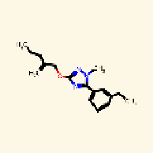 C=C(CCC)COc1nc(-c2cccc(CC)c2)n(C)n1